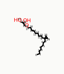 CCCCCCCCC1(CCCCCCCCCOCC(O)CO)CC1